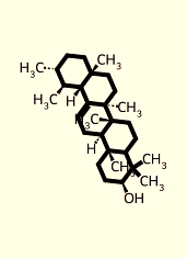 C[C@H]1[C@H](C)CC[C@]2(C)CC[C@]3(C)C(=CC[C@@H]4[C@@]5(C)CC[C@H](O)C(C)(C)C5CC[C@]43C)[C@H]12